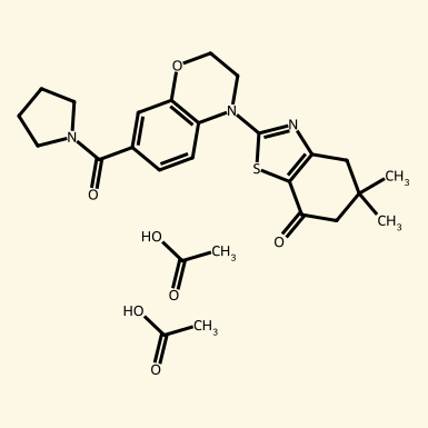 CC(=O)O.CC(=O)O.CC1(C)CC(=O)c2sc(N3CCOc4cc(C(=O)N5CCCC5)ccc43)nc2C1